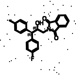 [CH2]c1ccc([C@H](c2ccc(F)cc2)[C@@H](O)CN2C(=O)c3ccccc3C2=O)cc1